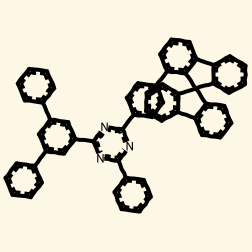 c1ccc(-c2cc(-c3ccccc3)cc(-c3nc(-c4ccccc4)nc(-c4ccc(-c5cccc6c5C5(c7ccccc7-c7ccccc75)c5ccccc5-6)cc4)n3)c2)cc1